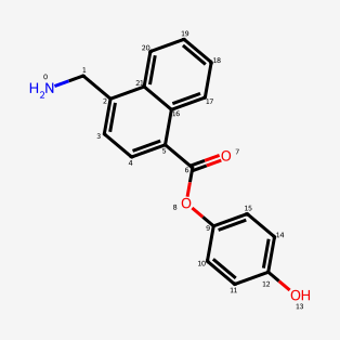 NCc1ccc(C(=O)Oc2ccc(O)cc2)c2ccccc12